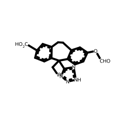 CC(C)CC1(c2nn[nH]n2)c2ccc(OC=O)cc2CCc2cc(C(=O)O)ccc21